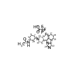 CC(=O)Nc1cccc(N2CCC(C3c4c(F)cccc4-c4cncn43)CC2)c1.O=C(O)C(F)(F)F